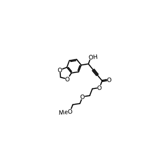 COCCOCCOC(=O)C#CC(O)c1ccc2c(c1)OCO2